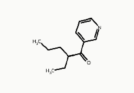 CCCC(CC)C(=O)c1cccnc1